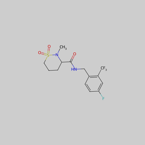 CN1C(C(=O)NCc2ccc(F)cc2C(F)(F)F)CCCS1(=O)=O